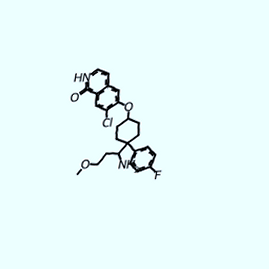 COCCC(N)C1(c2ccc(F)cc2)CCC(Oc2cc3cc[nH]c(=O)c3cc2Cl)CC1